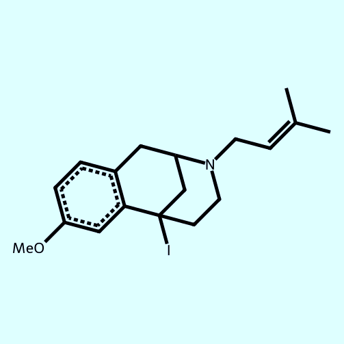 COc1ccc2c(c1)C1(I)CCN(CC=C(C)C)C(C2)C1